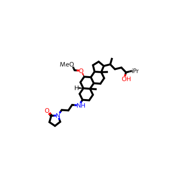 COCO[C@@H]1C[C@H]2CC(NCCCN3CCCC3=O)CCC2(C)C2CCC3(C)C(C(C)CCC(O)C(C)C)CCC3C21